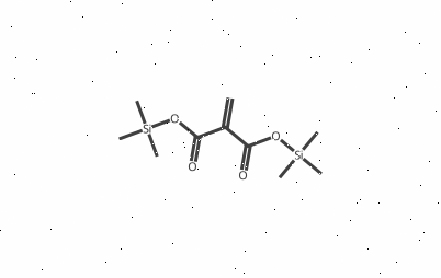 C=C(C(=O)O[Si](C)(C)C)C(=O)O[Si](C)(C)C